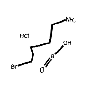 Cl.NCCCCBr.O=BO